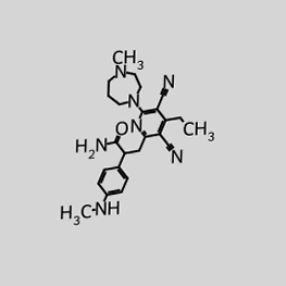 CCc1c(C#N)c(CC(C(N)=O)c2ccc(NC)cc2)nc(N2CCCN(C)CC2)c1C#N